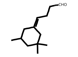 CC1CC(=CCCC=O)CC(C)(C)C1